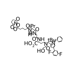 CC(C)C(NC(=O)CCCC(=O)ON1C(=O)CCC1=O)C(=O)NCC(=O)N[C@@H](CCN(C(=O)CO)C(c1cc(-c2cc(F)ccc2F)cn1Cc1ccccc1)C(C)(C)C)C(=O)O